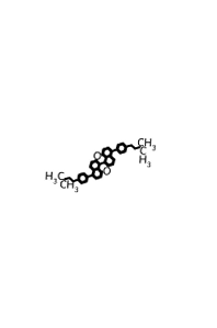 CC(C)CCc1ccc(-c2ccc3oc4ccc5c(-c6ccc(CCC(C)C)cc6)ccc6oc7ccc2c3c7-c4c65)cc1